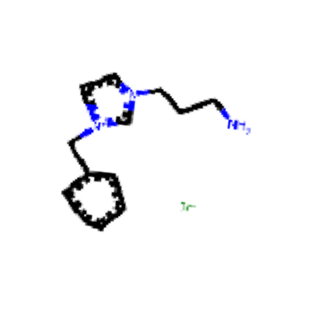 NCCCn1cc[n+](Cc2ccccc2)c1.[Br-]